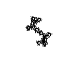 c1ccc(-c2nc(-c3ccc(-c4ccc(-c5cc(-c6nc(-c7ccccc7)c7ccccc7n6)nc(-c6ccccc6)n5)cn4)cc3)cc(-c3nc(-c4ccccc4)c4ccccc4n3)n2)cc1